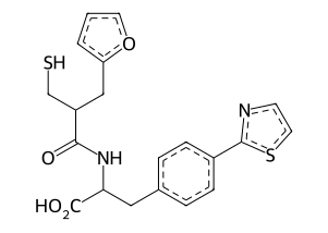 O=C(NC(Cc1ccc(-c2nccs2)cc1)C(=O)O)C(CS)Cc1ccco1